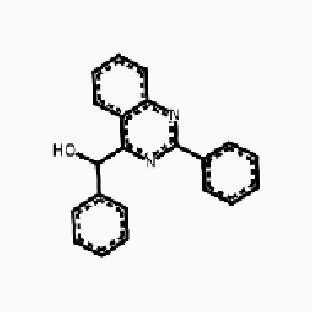 OC(c1ccccc1)c1nc(-c2ccccc2)nc2ccccc12